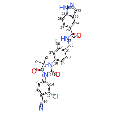 CC1(C)C(=O)N(c2ccc(C#N)c(Cl)c2)C(=O)N1c1ccc(CNC(=O)c2ccc3[nH]ncc3c2)c(F)c1